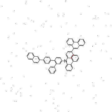 c1ccc(-c2cc(N(c3ccc(-c4cc5ccccc5c5ccccc45)cc3)c3ccccc3-c3ccccc3)ccc2-c2ccc(-c3ccc4ccccc4c3)cc2)cc1